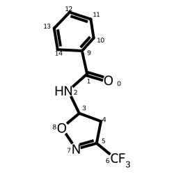 O=C(NC1CC(C(F)(F)F)=NO1)c1ccccc1